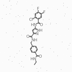 CCNC(=O)c1ccc(CNC(=O)c2cc(NC(=O)c3cc(F)c(F)cc3Cl)[nH]n2)cc1